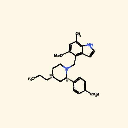 COc1cc(C)c2[nH]ccc2c1CN1CC[C@@H](CCC(F)(F)F)C[C@H]1c1ccc(C(=O)O)cc1